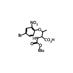 CC(Oc1ccc(Br)cc1[N+](=O)[O-])C(NC(=O)OC(C)(C)C)C(=O)O